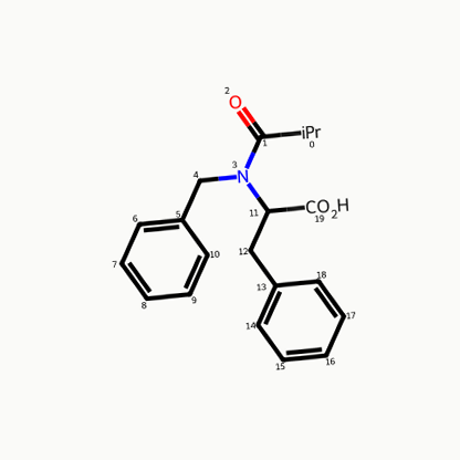 CC(C)C(=O)N(Cc1ccccc1)C(Cc1ccccc1)C(=O)O